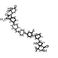 Cn1c(=O)n(C2CCC(=O)NC2=O)c2ccc(N3CCC(CN4CCN(c5ccc(-c6cc(-c7cc8c([nH]7)C7(CC7)CNC8=O)ccn6)c(F)c5)CC4)CC3)cc21